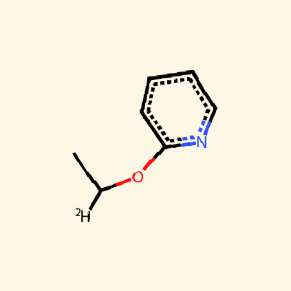 [2H]C(C)Oc1ccccn1